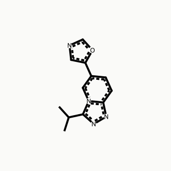 CC(C)c1nnc2ccc(-c3cnco3)cn12